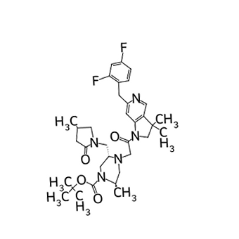 CC1CC(=O)N(C[C@H]2CN(C(=O)OC(C)(C)C)[C@H](C)CN2CC(=O)N2CC(C)(C)c3cnc(Cc4ccc(F)cc4F)cc32)C1